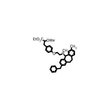 CCOC(=O)C(Cc1ccc(OCCN(C)C2c3ccc(Cc4ccccc4)cc3CCc3ccc(C)cc32)cc1)OC